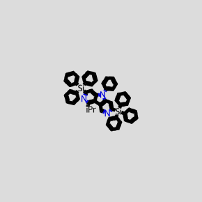 CC(C)c1nc([Si](c2ccccc2)(c2ccccc2)c2ccccc2)cc2c1c1cnc([Si](c3ccccc3)(c3ccccc3)c3ccccc3)cc1n2-c1ccccc1